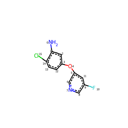 Nc1cc(Oc2cncc(F)c2)ccc1Cl